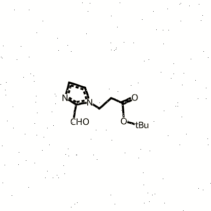 CC(C)(C)OC(=O)CCn1ccnc1C=O